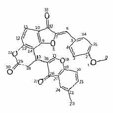 COc1ccc(C=C2Oc3c(ccc4c3C(c3coc5ccc(C)cc5c3=O)CC(=O)O4)C2=O)cc1